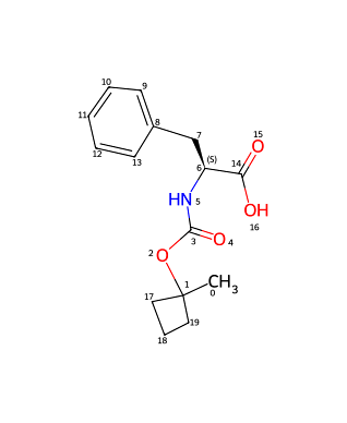 CC1(OC(=O)N[C@@H](Cc2ccccc2)C(=O)O)CCC1